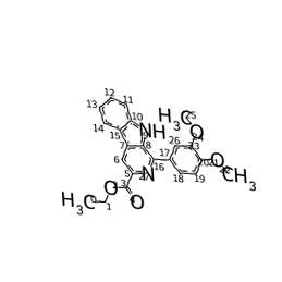 CCOC(=O)c1cc2c([nH]c3ccccc32)c(-c2ccc(OC)c(OC)c2)n1